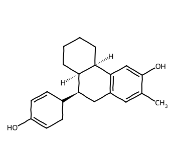 Cc1cc2c(cc1O)[C@@H]1CCCC[C@@H]1[C@H](C1C=CC(O)=CC1)C2